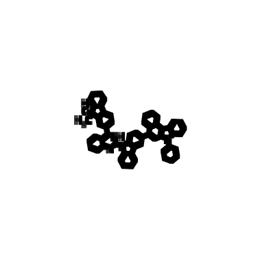 CC1(C)c2ccccc2-c2ccc(C3=c4ccccc4=NC(n4c5ccccc5c5cc(-c6cc7c(c8ccccc68)c6ccccc6n7C6=CCCC=C6)ccc54)N3)cc21